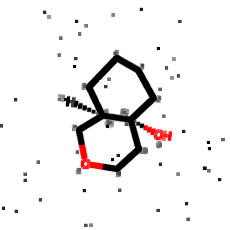 O[C@@]12CCCC[C@@H]1COCC2